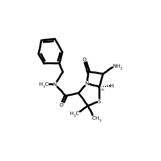 CN(Cc1ccccc1)C(=O)C1N2C(=O)C(N)[C@H]2SC1(C)C